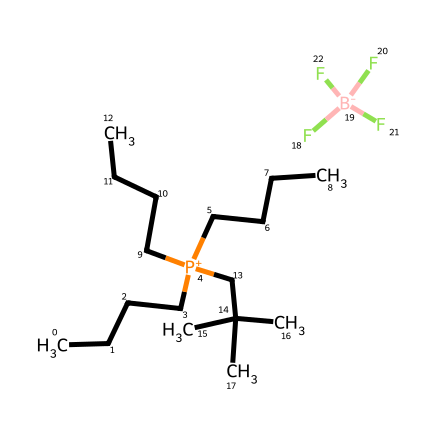 CCCC[P+](CCCC)(CCCC)CC(C)(C)C.F[B-](F)(F)F